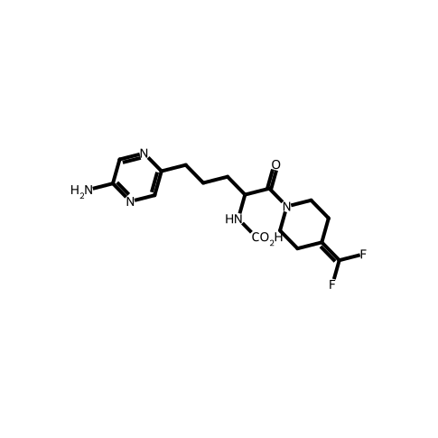 Nc1cnc(CCCC(NC(=O)O)C(=O)N2CCC(=C(F)F)CC2)cn1